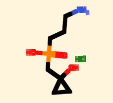 Cl.NCCCP(=O)(O)CC1(O)CC1